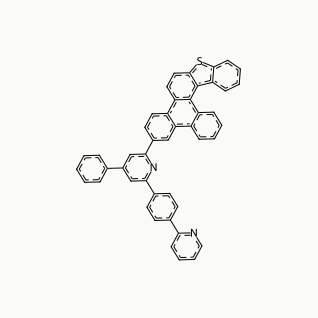 c1ccc(-c2cc(-c3ccc(-c4ccccn4)cc3)nc(-c3ccc4c(c3)c3ccccc3c3c4ccc4sc5ccccc5c43)c2)cc1